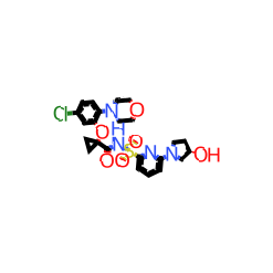 O=C(NS(=O)(=O)c1cccc(N2CC[C@H](O)C2)n1)C1(Oc2cc(Cl)ccc2N2CCOCC2)CC1